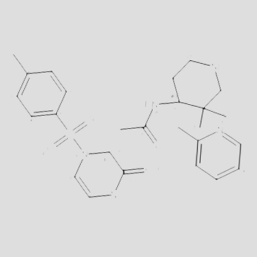 Cc1ccc(S(=O)(=O)N2C=CNC(=O)[C@H]2CC(=O)N[C@@]2(Cc3ccccn3)CCNCC2(C)C)cc1